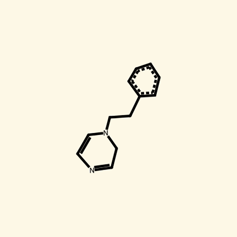 C1=CN(CCc2ccccc2)CC=N1